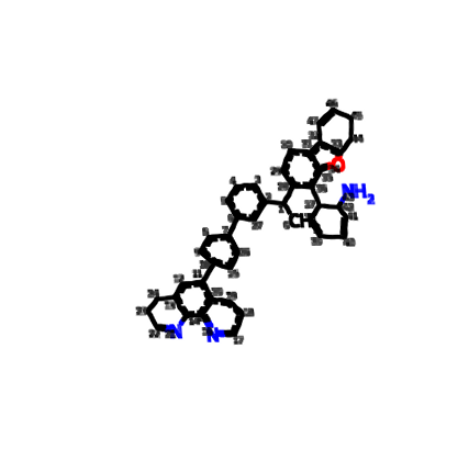 CC(c1cccc(-c2ccc(-c3cc4c(c5ncccc35)N=CCC4)cc2)c1)c1ccc2c3c(oc2c1C1C=CC=CC1N)CCC=C3